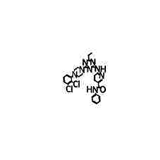 CCc1nc(Nc2ccc(C(=O)Nc3ccccc3)cn2)nc(N2CCN(c3cccc(Cl)c3Cl)CC2)n1